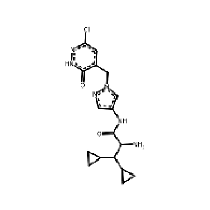 NC(C(=O)Nc1cnn(Cc2cc(Cl)n[nH]c2=O)c1)C(C1CC1)C1CC1